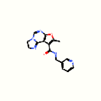 Cc1oc2c(c1C(=O)NCc1cccnc1)C1=NCCN1C=N2